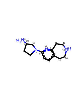 N[C@@H]1CCN(c2ccc3c(n2)CCNCC3)C1